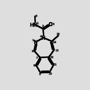 CNC(=O)N1N=Cc2ccccc2C=C1C